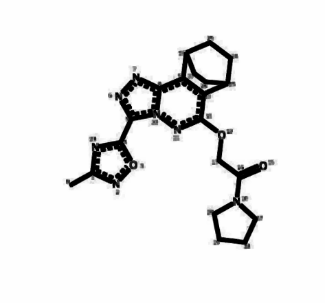 Cc1noc(-c2nnc3c4c(c(OCC(=O)N5CCCC5)nn23)C2CCC4CC2)n1